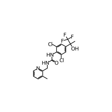 Cc1cccnc1CNC(=O)Nc1c(Cl)cc(C(C)(O)C(F)(F)F)cc1Cl